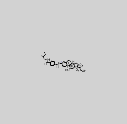 CCC(C)CNC(=O)c1ccc(N/N=C2\C=C[C@@]3(C)C(=C2)CC[C@H]2[C@@H]4C[C@@H](C)[C@](OC)(C(=O)CO)[C@@]4(C)C[C@H](O)[C@@]23F)cc1